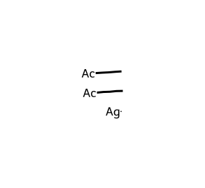 CC(C)=O.CC(C)=O.[Ag]